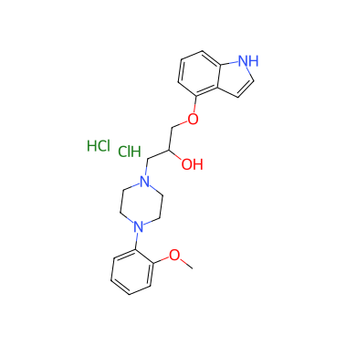 COc1ccccc1N1CCN(CC(O)COc2cccc3[nH]ccc23)CC1.Cl.Cl